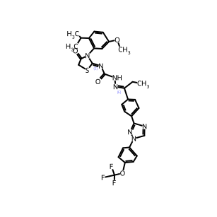 CC/C(=N\NC(=O)/N=C1\SCC(=O)N1c1cc(OC)ccc1C(C)C)c1ccc(-c2ncn(-c3ccc(OC(F)(F)F)cc3)n2)cc1